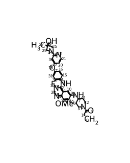 C=CC(=O)N1CCC(Nc2cc3c(Nc4ccc(Oc5ccnc(N6CC(C)(O)C6)c5)cc4F)ncnc3cc2OC)CC1